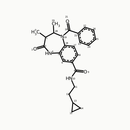 CC1C(=O)Nc2cc(C(=O)NCCC3CC3)ccc2N(C(=O)c2ccccc2)C1C